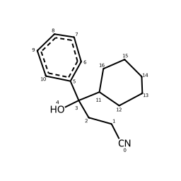 N#CCCC(O)(c1ccccc1)C1CCCCC1